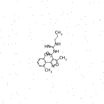 CCCNC(=N)NC(=O)c1c(-c2c(C)cccc2C)noc1C